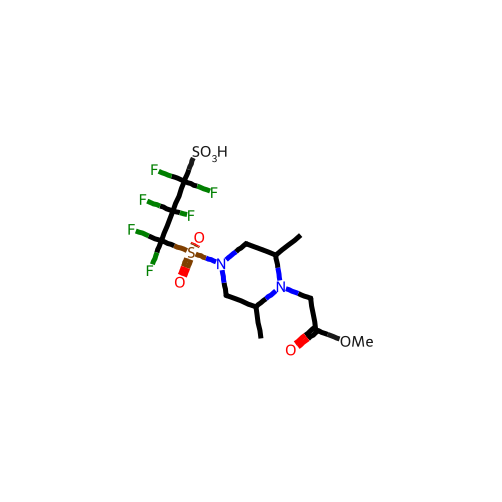 COC(=O)CN1C(C)CN(S(=O)(=O)C(F)(F)C(F)(F)C(F)(F)S(=O)(=O)O)CC1C